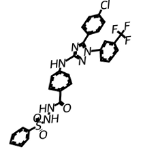 O=C(NNS(=O)(=O)c1ccccc1)c1ccc(Nc2nc(-c3ccc(Cl)cc3)n(-c3cccc(C(F)(F)F)c3)n2)cc1